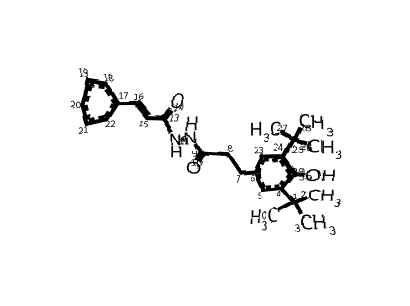 CC(C)(C)c1cc(CCC(=O)NNC(=O)C=Cc2ccccc2)cc(C(C)(C)C)c1O